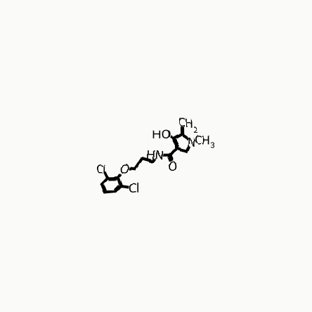 C=C1C(O)=C(C(=O)NCCCOc2c(Cl)cccc2Cl)CN1C